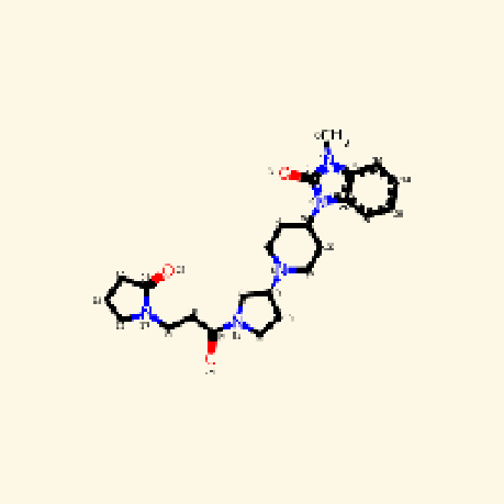 Cn1c(=O)n(C2CCN([C@H]3CCN(C(=O)CCN4CCCC4=O)C3)CC2)c2ccccc21